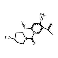 C=C(C)c1cc(C(=O)N2CCC(O)CC2)c(P=O)cc1OP